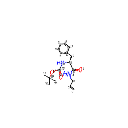 C=CCNC(=O)[C@H](Cc1ccccc1)NC(=O)OC(C)(C)C